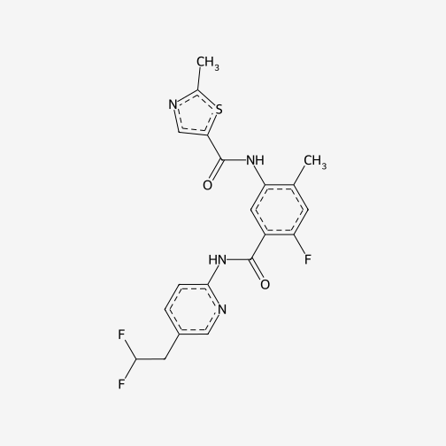 Cc1ncc(C(=O)Nc2cc(C(=O)Nc3ccc(CC(F)F)cn3)c(F)cc2C)s1